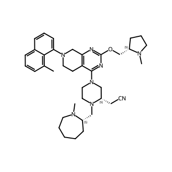 Cc1cccc2cccc(N3CCc4c(nc(OC[C@@H]5CCCN5C)nc4N4CCN(C[C@@H]5CCCCCN5C)[C@@H](CC#N)C4)C3)c12